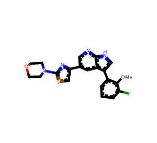 COc1c(F)cccc1-c1c[nH]c2ncc(-c3csc(N4CCOCC4)n3)cc12